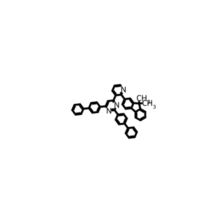 CC1(C)c2ccccc2-c2ccc(-c3ncccc3-c3cc(-c4ccc(-c5ccccc5)cc4)nc(-c4ccc(-c5ccccc5)cc4)n3)cc21